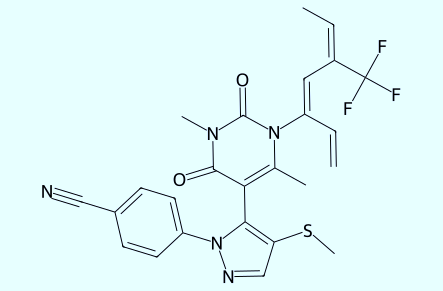 C=C/C(=C\C(=C/C)C(F)(F)F)n1c(C)c(-c2c(SC)cnn2-c2ccc(C#N)cc2)c(=O)n(C)c1=O